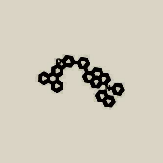 c1ccc(N(c2cccc3ccccc23)c2ccc3ccc4c(-c5cccc(-c6ccc7oc8cc9c%10ccccc%10c%10ccccc%10c9cc8c7c6)c5)ccc5ccc2c3c54)cc1